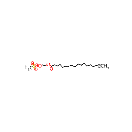 CCCCCCCCCCCCCCCCCC(=O)OCCOOS(C)(=O)=O